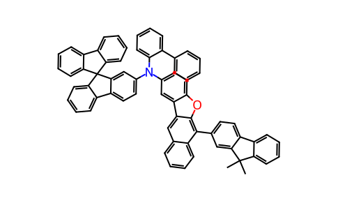 CC1(C)c2ccccc2-c2ccc(-c3c4ccccc4cc4c3oc3ccc(N(c5ccc6c(c5)C5(c7ccccc7-c7ccccc75)c5ccccc5-6)c5ccccc5-c5ccccc5)cc34)cc21